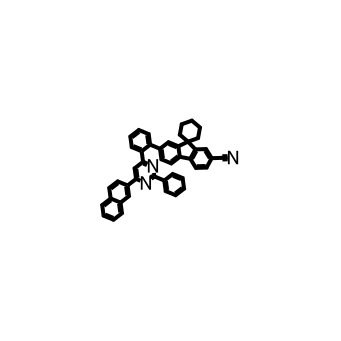 N#Cc1ccc2c(c1)C1(CCCCC1)c1cc(-c3ccccc3-c3cc(-c4ccc5ccccc5c4)nc(-c4ccccc4)n3)ccc1-2